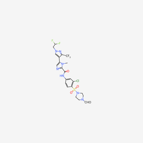 Cn1c(-c2cn(CC(F)F)nc2C(F)(F)F)cnc1C(=O)Nc1ccc(S(=O)(=O)N2CCN(C=O)CC2)c(Cl)c1